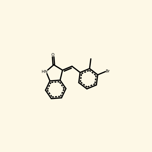 Cc1c(Br)cccc1C=C1C(=O)Nc2ccccc21